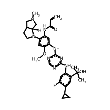 C=CC(=O)Nc1cc(Nc2ncnc(Nc3cc(F)c(C4CC4)cc3C(C)(C)O)n2)c(OC)cc1N1CCC2CN(C)C[C@@H]21